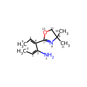 C/C=C(N)\C(=C/C)C1=NC(C)(C)CO1